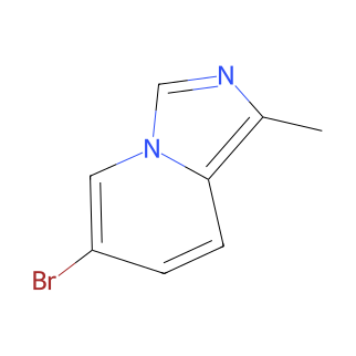 Cc1ncn2cc(Br)ccc12